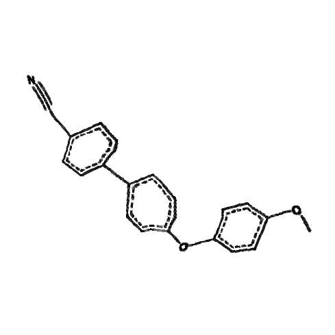 COc1ccc(Oc2ccc(-c3ccc(C#N)cc3)cc2)cc1